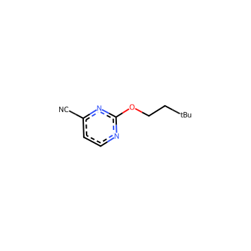 CC(C)(C)CCOc1nccc(C#N)n1